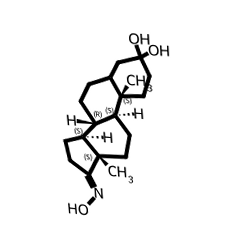 C[C@]12CCC(O)(O)CC1CC[C@@H]1[C@@H]2CC[C@]2(C)C(=NO)CC[C@@H]12